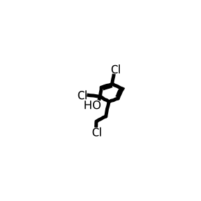 OC1(Cl)C=C(Cl)C=CC1CCCl